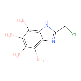 Bc1c(B)c(B)c2[nH]c(CCl)nc2c1B